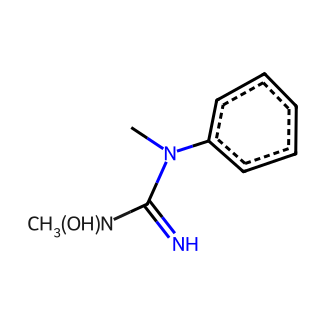 CN(O)C(=N)N(C)c1ccccc1